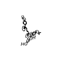 COCOc1ccc(C(=O)CCCC(=O)N[C@H](CN2CC[C@H](O)C2)[C@H](O)c2ccc(OC(C)C)cc2)cc1